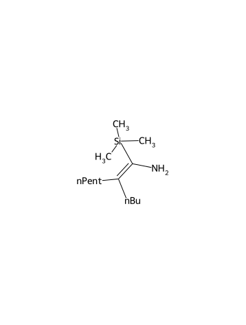 CCCCCC(CCCC)=C(N)[Si](C)(C)C